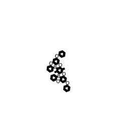 Cc1c2c(c(C)c3c1Oc1cc(Oc4ccccc4)cc4c1B3c1ccccc1O4)B1c3ccccc3Oc3cc(Oc4ccccc4)cc(c31)O2